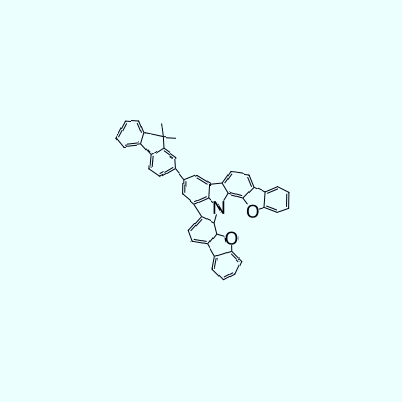 CC1(C)c2ccccc2-c2ccc(-c3cc4c5c(c3)c3ccc6c7ccccc7oc6c3n5C3C4=CC=C4c5ccccc5OC43)cc21